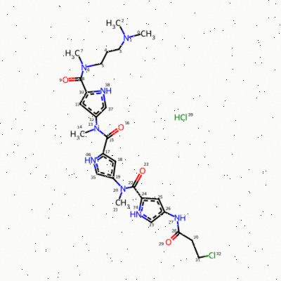 CN(C)CCCN(C)C(=O)c1cc(N(C)C(=O)c2cc(N(C)C(=O)c3cc(NC(=O)CCCl)c[nH]3)c[nH]2)c[nH]1.Cl